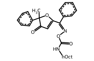 CCCCCCCCNC(=O)O/N=C(\C1=CC(=O)C(C)(c2ccccc2)O1)c1ccccc1